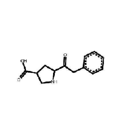 O=C(O)C1CNC(C(=O)Cc2ccccc2)C1